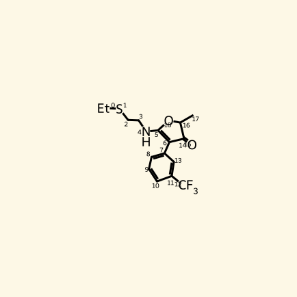 CCSCCNC1=C(c2cccc(C(F)(F)F)c2)C(=O)C(C)O1